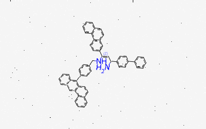 NC(/C=C(\NCc1ccc(-c2c3ccccc3cc3c2ccc2ccccc23)cc1)c1ccc2c(ccc3ccccc32)c1)c1ccc(-c2ccccc2)cc1